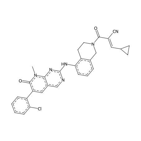 Cn1c(=O)c(-c2ccccc2Cl)cc2cnc(Nc3cccc4c3CCN(C(=O)C(C#N)=CC3CC3)C4)nc21